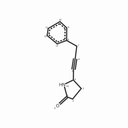 O=C1CCC(C#CCc2ccccc2)N1